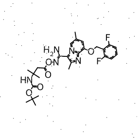 Cc1cc(OCc2c(F)cccc2F)c2nc(C)c(/C(N)=N/OC(=O)CC(C)(C)NC(=O)OC(C)(C)C)n2c1